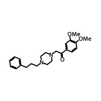 COc1ccc(C(=O)CN2CCN(CCCc3ccccc3)CC2)cc1OC